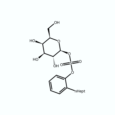 CCCCCCCc1ccccc1OS(=O)(=O)O[C@@H]1O[C@H](CO)[C@H](O)[C@H](O)[C@H]1O